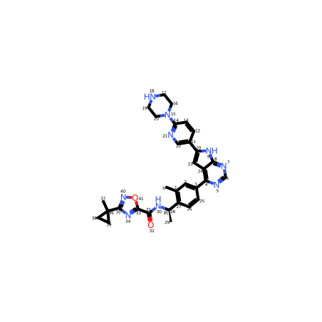 Cc1cc(-c2ncnc3[nH]c(-c4ccc(N5CCNCC5)nc4)cc23)ccc1[C@@H](C)NC(=O)c1nc(C2(C)CC2)no1